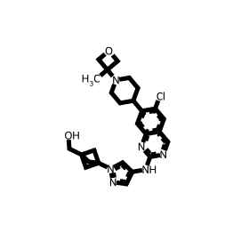 CC1(N2CCC(c3cc4nc(Nc5cnn(C67CC(CO)(C6)C7)c5)ncc4cc3Cl)CC2)COC1